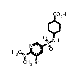 CN(C)c1ncc(S(=O)(=O)NC2CCC(C(=O)O)CC2)cc1Br